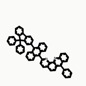 c1ccc(-c2c3ccccc3nc3c2ccc2ccc(-c4c5ccccc5c(-c5ccc6c(c5)C(c5ccccc5)(c5ccccc5)c5ccccc5-6)c5ccccc45)nc23)cc1